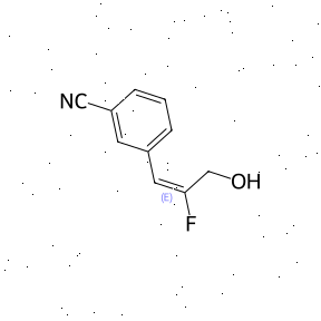 N#Cc1cccc(/C=C(/F)CO)c1